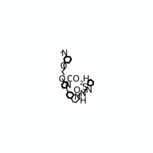 CN(C)c1cccc(OCCCOc2ccc(-c3ccc4c(c3)N(C(=O)Nc3nc5ccccc5s3)CCC4)nc2C(=O)O)c1